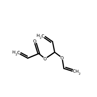 C=COC(C=C)OC(=O)C=C